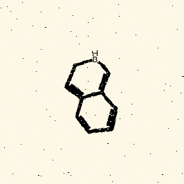 B1C=c2ccccc2=CC1